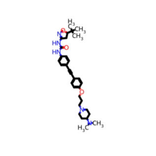 CN(C)C1CCN(CCCOc2ccc(C#Cc3ccc(NC(=O)NC4=NOC(C(C)(C)C)C4)cc3)cc2)CC1